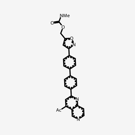 CNC(=O)OCc1cc(-c2ccc(-c3ccc(-c4cc(C(C)=O)c5cnccc5n4)cc3)cc2)no1